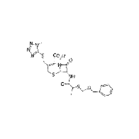 CC(SCOCc1ccccc1)C(=O)N[C@H]1C(=O)N2C(C(=O)O)=C(CSc3nnnn3C)CSC12